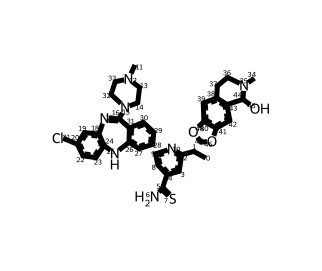 CCc1cc(C(N)=S)ccn1.CN1CCN(C2=Nc3cc(Cl)ccc3Nc3ccccc32)CC1.CN1CCc2cc3c(cc2C1O)OCO3